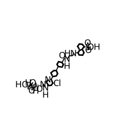 O=C(NCCNc1cccc2c(S(=O)(=O)O)cccc12)c1ccc(-c2ccc(-c3nc4nc(O[C@@H]5CO[C@H]6[C@@H]5OC[C@H]6O)[nH]c4cc3Cl)cc2)cc1